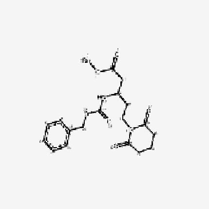 CCCCOC(=O)CC(CCN1C(=O)CCCC1=O)NC(=O)OCc1ccccc1